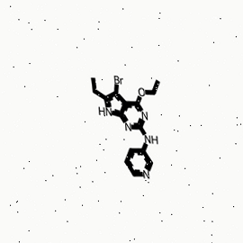 CCOc1nc(Nc2cccnc2)nc2[nH]c(CC)c(Br)c12